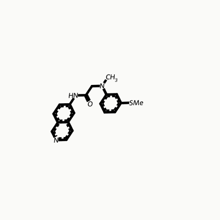 CSc1cccc(N(C)CC(=O)Nc2ccc3cnccc3c2)c1